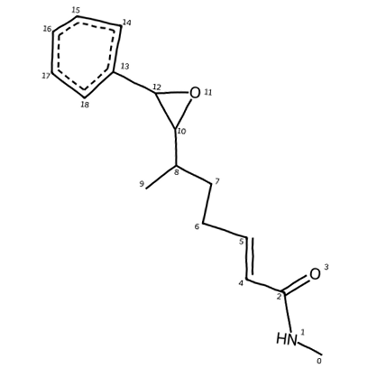 CNC(=O)/C=C/CCC(C)C1OC1c1ccccc1